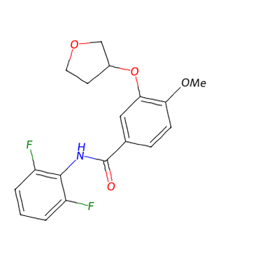 COc1ccc(C(=O)Nc2c(F)cccc2F)cc1OC1CCOC1